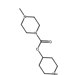 CN1CCN(C(=O)OC2CCNCC2)CC1